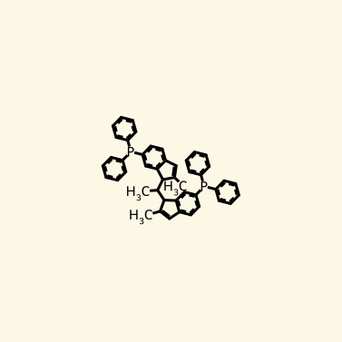 CC1=Cc2ccc(P(c3ccccc3)c3ccccc3)cc2C1C(C)C1C(C)=Cc2ccc(P(c3ccccc3)c3ccccc3)cc21